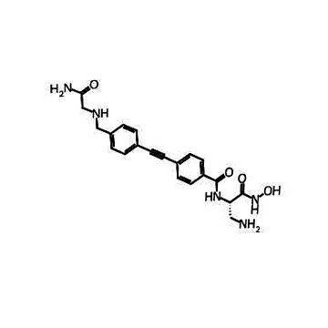 NC[C@H](NC(=O)c1ccc(C#Cc2ccc(CNCC(N)=O)cc2)cc1)C(=O)NO